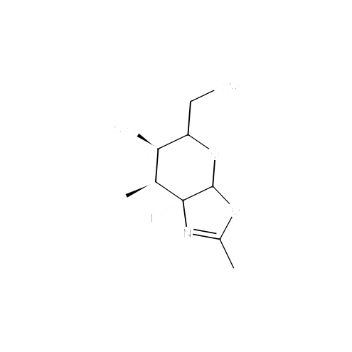 CC(=O)OCC1OC2OC(C)=N[C@H]2[C@@H](C)[C@H]1OC(C)=O